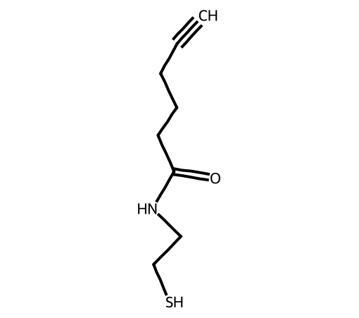 C#CCCCC(=O)NCCS